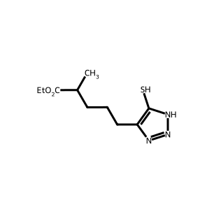 CCOC(=O)C(C)CCCc1nn[nH]c1S